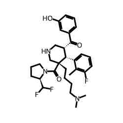 Cc1c(F)cccc1[C@H]1[C@@H](C(=O)c2cccc(O)c2)CNC[C@@]1(CCCCN(C)C)C(=O)N1CCC[C@@H]1C(F)F